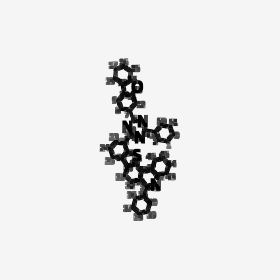 c1ccc(-c2nc(-c3ccc4c(c3)oc3ccccc34)nc(-c3cccc4c3sc3c4ccc4c(-c5ccccc5)nc5ccccc5c43)n2)cc1